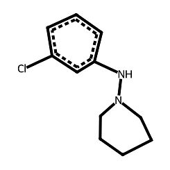 Clc1cccc(NN2CCCCC2)c1